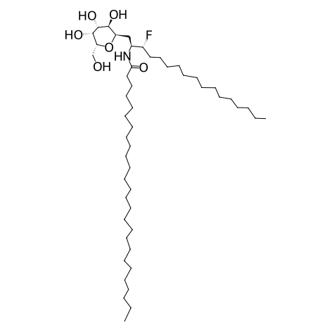 CCCCCCCCCCCCCCCCCCCCCCCCCC(=O)N[C@@H](C[C@H]1O[C@H](CO)[C@H](O)[C@H](O)[C@H]1O)[C@H](F)CCCCCCCCCCCCCC